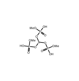 COP(=O)(O)ON(OP(=O)(O)OC)OP(=O)(O)OC